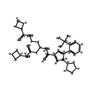 O=C(CC(CCNC(=O)C1COC1)NC(=O)c1cc(-c2ccccc2C(F)(F)F)n(C2CCCC2)n1)NC1CCC1